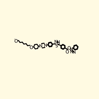 COCCCCCCCOC1CCC(N2CCN(c3ccc(-c4nnc(-c5ccc(C(=O)On6nnc7ccccc76)cc5)s4)cc3)CC2)CC1